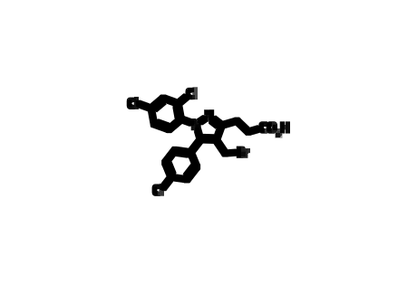 O=C(O)CCc1nn(-c2ccc(Cl)cc2Cl)c(-c2ccc(Cl)cc2)c1CBr